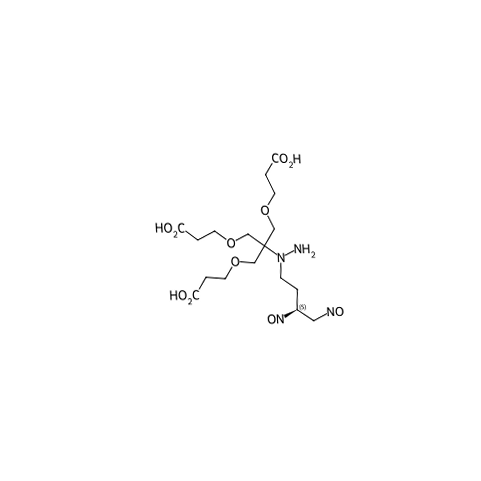 NN(CC[C@@H](CN=O)N=O)C(COCCC(=O)O)(COCCC(=O)O)COCCC(=O)O